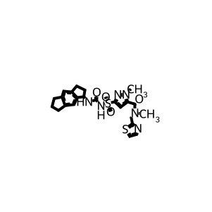 CN(Cc1nccs1)C(=O)c1cc(S(=O)(=O)NC(=O)NC2CCc3cc4c(cc32)CCC4)nn1C